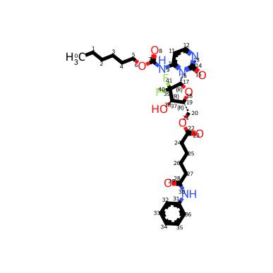 CCCCCCOC(=O)Nc1ccnc(=O)n1[C@@H]1O[C@H](COC(=O)CCCCC(=O)Nc2ccccc2)[C@@H](O)C1(F)F